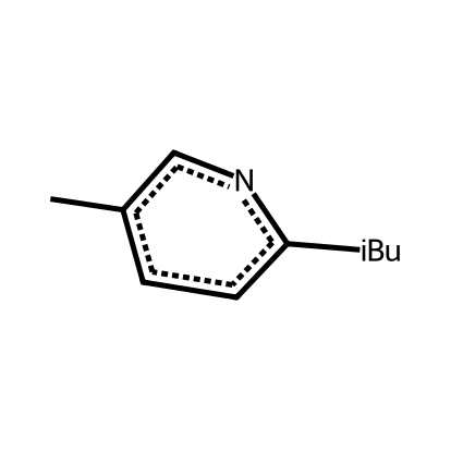 CCC(C)c1ccc(C)cn1